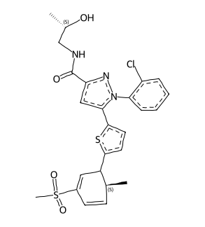 C[C@H](O)CNC(=O)c1cc(-c2ccc(C3C=C(S(C)(=O)=O)C=C[C@@H]3C)s2)n(-c2ccccc2Cl)n1